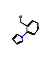 ClCc1ccccc1-n1cccc1